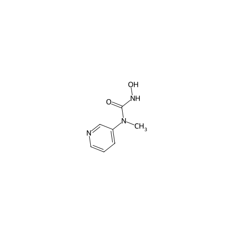 CN(C(=O)NO)c1cccnc1